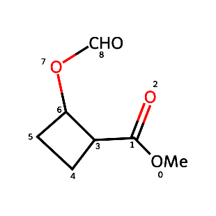 COC(=O)C1CCC1OC=O